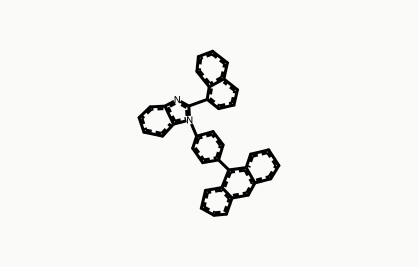 c1ccc2c(-c3nc4ccccc4n3-c3ccc(-c4c5ccccc5cc5ccccc45)cc3)cccc2c1